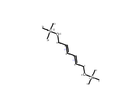 C[Si](C)(C)OC/C=C/C=C/CO[Si](C)(C)C